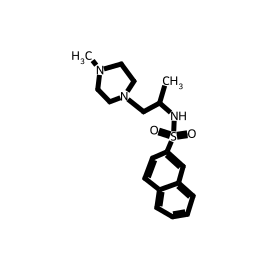 CC(CN1CCN(C)CC1)NS(=O)(=O)c1ccc2ccccc2c1